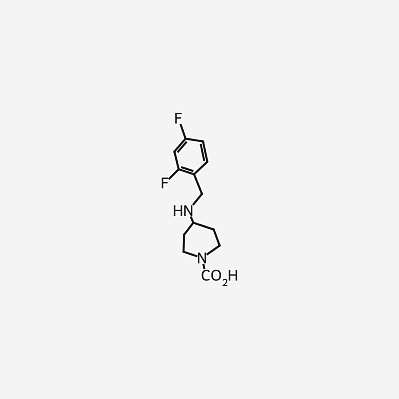 O=C(O)N1CCC(NCc2ccc(F)cc2F)CC1